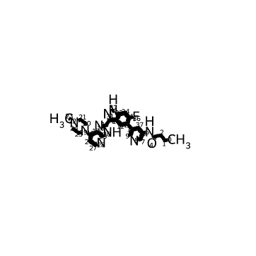 CCCC(=O)Nc1cncc(-c2cc3c(-c4nc5c(N6CCN(C)CC6)ccnc5[nH]4)n[nH]c3cc2F)c1